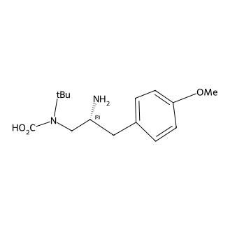 COc1ccc(C[C@@H](N)CN(C(=O)O)C(C)(C)C)cc1